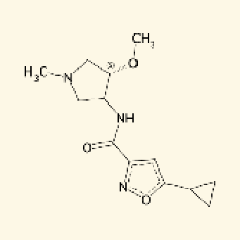 CO[C@H]1CN(C)CC1NC(=O)c1cc(C2CC2)on1